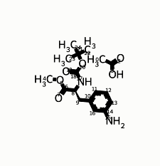 CC(=O)O.COC(=O)[C@H](Cc1cccc(N)c1)NC(=O)OC(C)(C)C